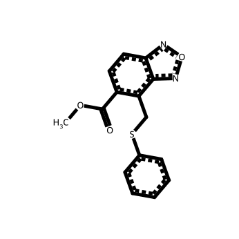 COC(=O)c1ccc2nonc2c1CSc1ccccc1